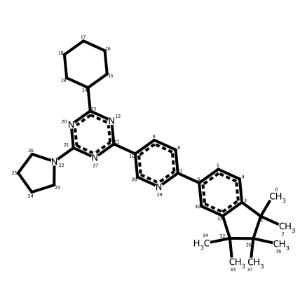 CC1(C)c2ccc(-c3ccc(-c4nc(C5CCCCC5)nc(N5CCCC5)n4)cn3)cc2C(C)(C)C1(C)C